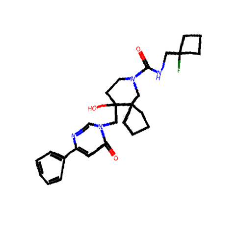 O=C(NCC1(F)CCC1)N1CCC(O)(Cn2cnc(-c3ccccc3)cc2=O)C2(CCCC2)C1